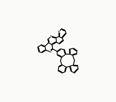 c1ccc2c(c1)Cc1ccccc1-c1ccc(-c3nc4ccccc4c4cnc5c(ccc6cccnc65)c34)cc1Cc1ccccc1-2